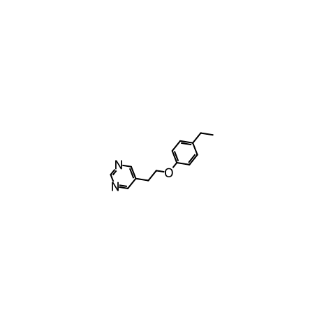 CCc1ccc(OCCc2cncnc2)cc1